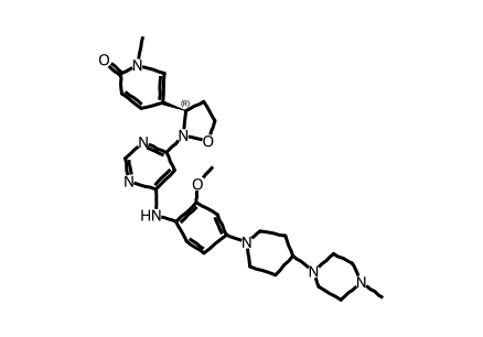 COc1cc(N2CCC(N3CCN(C)CC3)CC2)ccc1Nc1cc(N2OCC[C@@H]2c2ccc(=O)n(C)c2)ncn1